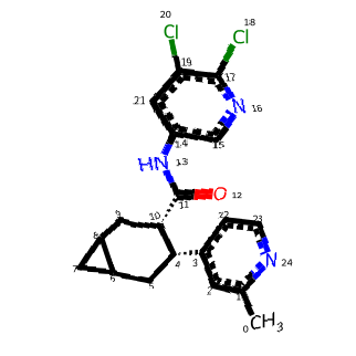 Cc1cc([C@@H]2CC3CC3C[C@@H]2C(=O)Nc2cnc(Cl)c(Cl)c2)ccn1